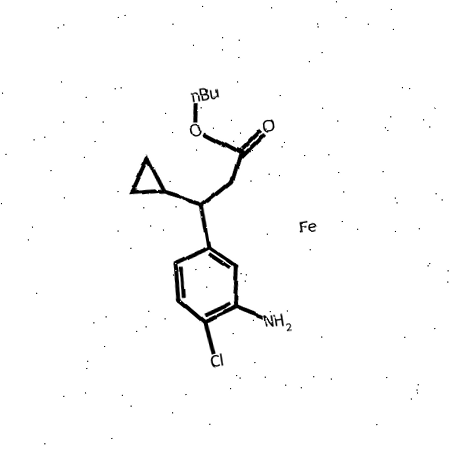 CCCCOC(=O)CC(c1ccc(Cl)c(N)c1)C1CC1.[Fe]